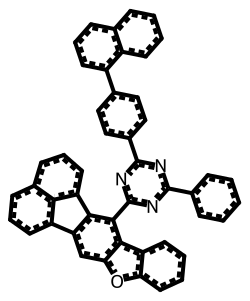 c1ccc(-c2nc(-c3ccc(-c4cccc5ccccc45)cc3)nc(-c3c4c(cc5oc6ccccc6c35)-c3cccc5cccc-4c35)n2)cc1